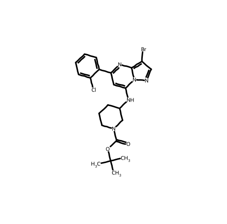 CC(C)(C)OC(=O)N1CCCC(Nc2cc(-c3ccccc3Cl)nc3c(Br)cnn23)C1